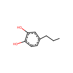 C[CH]Cc1ccc(O)c(O)c1